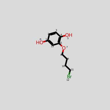 Oc1ccc(O)c(OCCCCBr)c1